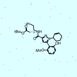 COc1cccc(O)c1-c1cc(C(=O)N[C@H](CC(=O)OC(C)(C)C)CC(C)C)nn1C1C=CCCC1